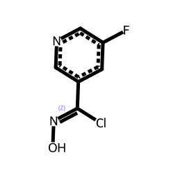 O/N=C(\Cl)c1cncc(F)c1